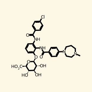 CN1CCCN(c2ccc(C(=O)Nc3c(NC(=O)c4ccc(Cl)cc4)cccc3O[C@@H]3O[C@H](C(=O)O)[C@@H](O)[C@H](O)[C@H]3O)cc2)CC1